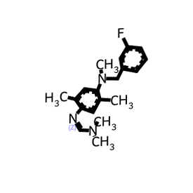 Cc1cc(N(C)Cc2cccc(F)c2)c(C)cc1/N=C\N(C)C